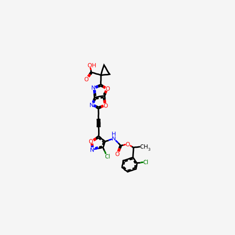 CC(OC(=O)Nc1c(Cl)noc1C#Cc1nc2nc(C3(C(=O)O)CC3)oc2o1)c1ccccc1Cl